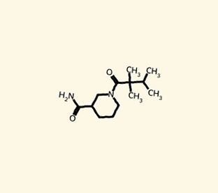 CC(C)C(C)(C)C(=O)N1CCCC(C(N)=O)C1